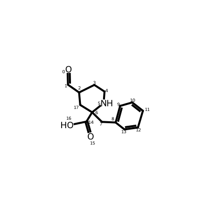 O=CC1CCNC(Cc2ccccc2)(C(=O)O)C1